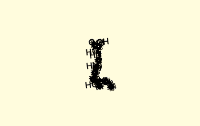 C[C@H](NC(=O)c1ccc(CNC[C@H](O)c2ccc(O)c3[nH]c(=O)ccc23)cc1)C(=O)N1CC=C(c2cccc([C@](O)(C(=O)OCC3CCN(Cc4ccccc4)CC3)c3ccccc3)c2)CC1